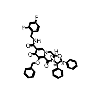 O=C(NCc1ccc(F)cc1F)c1cn2c(c(OCc3ccccc3)c1=O)C(=O)N1[C@H](C2)O[C@@H](c2ccccc2)[C@H]1c1ccccc1